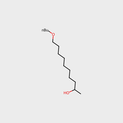 CCCCOCCCCCCCCC(C)O